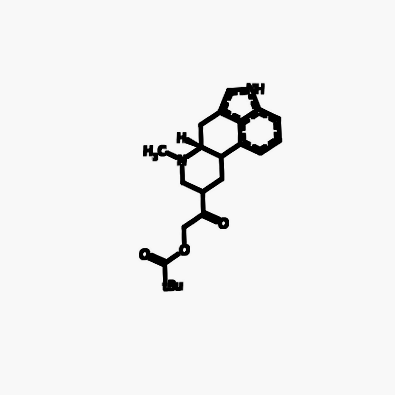 CN1CC(C(=O)COC(=O)C(C)(C)C)CC2c3cccc4[nH]cc(c34)C[C@H]21